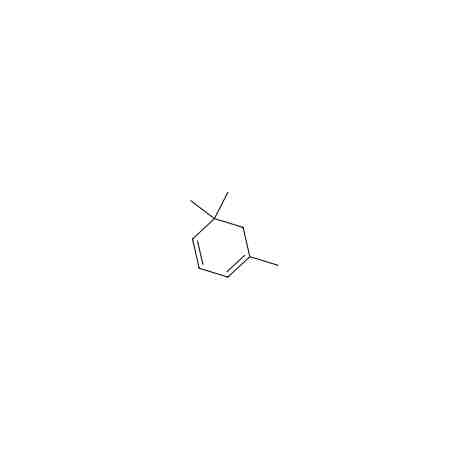 CC1=CC=CC(C)(C)C1